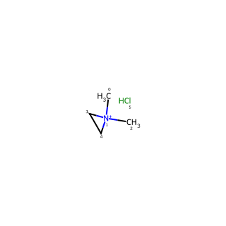 C[N+]1(C)CC1.Cl